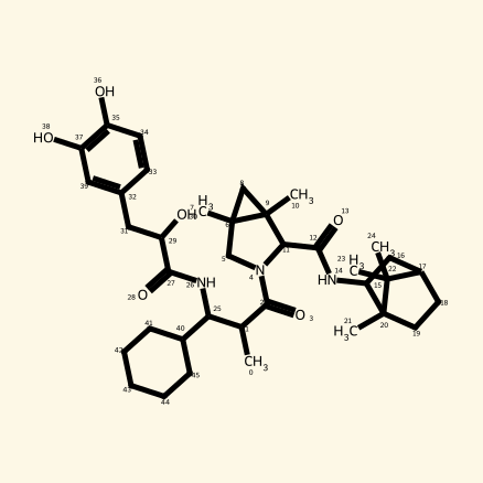 CC(C(=O)N1CC2(C)CC2(C)C1C(=O)NC1CC2CCC1(C)C2(C)C)C(NC(=O)C(O)Cc1ccc(O)c(O)c1)C1CCCCC1